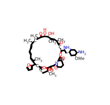 CO[C@@H]1C[C@H](C[C@@H](N)[C@@H]2CC(=O)[C@H](C)/C=C(\C)[C@@H](O)[C@@H](O)C(=O)[C@H](C)C[C@H](C)/C=C/C=C/C=C(\C)C(c3ccco3)C[C@@H]3CC[C@@H](C)[C@@](O)(O3)C(=O)C(=O)N3CCCC[C@H]3C(=O)O2)CC[C@@H]1N